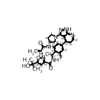 C=CC(=O)N[C@@H]1CCN(c2n[nH]c3nccc(-c4ccc([C@@H](C)NC(=O)c5cc(C(C)(C)O)on5)c(F)c4)c23)C1